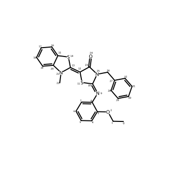 CCOc1ccccc1N=C1SC(=C2Sc3ccccc3N2C)C(=O)N1Cc1ccccc1